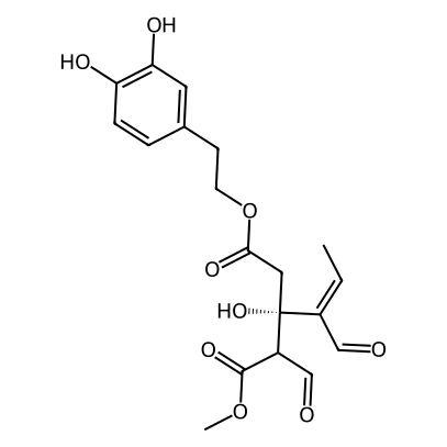 C/C=C(/C=O)[C@](O)(CC(=O)OCCc1ccc(O)c(O)c1)C(C=O)C(=O)OC